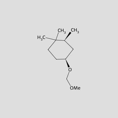 COCO[C@H]1CCC(C)(C)[C@@H](C)C1